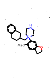 COc1cc2c(cc1[N+]1(CC3CCc4ccccc4C3)CCNCC1)OCC2